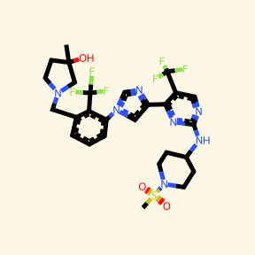 CC1(O)CCN(Cc2cccc(-n3cnc(-c4nc(NC5CCN(S(C)(=O)=O)CC5)ncc4C(F)(F)F)c3)c2C(F)(F)F)C1